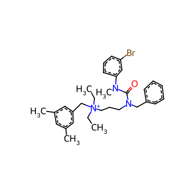 CC[N+](CC)(CCCN(Cc1ccccc1)C(=O)N(C)c1cccc(Br)c1)Cc1cc(C)cc(C)c1